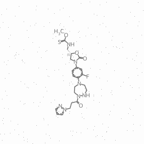 COC(=S)NC[C@H]1CN(c2ccc(N3CCNN(C(=O)CCn4cccn4)CC3)c(F)c2)C(=O)O1